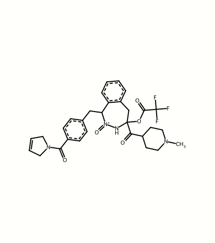 CN1CCC(C(=O)C2(OC(=O)C(F)(F)F)Cc3ccccc3C(Cc3ccc(C(=O)N4CC=CC4)cc3)[N+](=O)N2)CC1